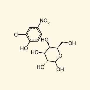 O=[N+]([O-])c1ccc(O)c(Cl)c1.OC[C@H]1OC(O)[C@H](O)[C@@H](O)[C@H]1O